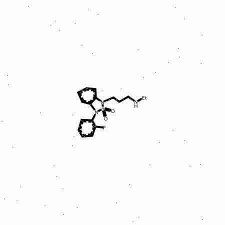 CCNCCCN1c2ccccc2N(c2ccccc2F)S1(=O)=O